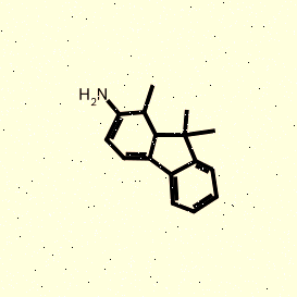 CC1C(N)=CC=C2c3ccccc3C(C)(C)C21